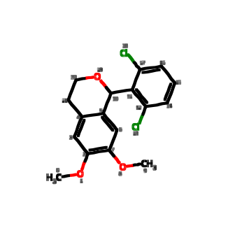 COc1cc2c(cc1OC)C(c1c(Cl)cccc1Cl)OCC2